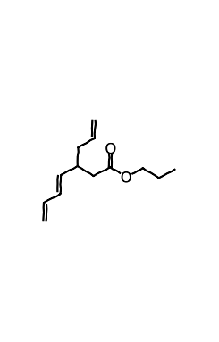 C=CC=CC(CC=C)CC(=O)OCCC